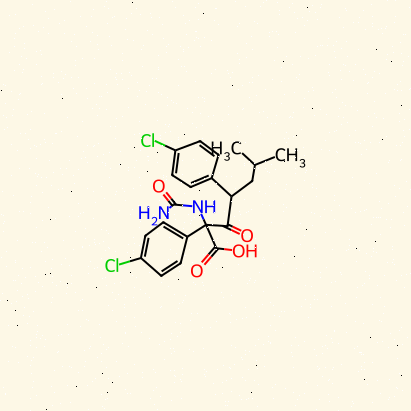 CC(C)CC(C(=O)C(NC(N)=O)(C(=O)O)c1ccc(Cl)cc1)c1ccc(Cl)cc1